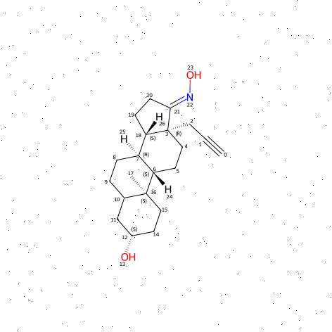 C#CC[C@]12CC[C@H]3[C@@H](CCC4C[C@@H](O)CC[C@@]43C)[C@@H]1CCC2=NO